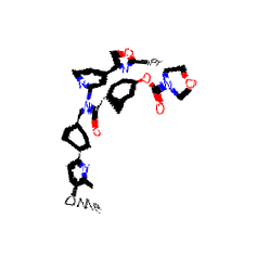 COc1ccc([C@H]2CC[C@H](CN(c3cc(-c4coc(C(C)C)n4)ccn3)C(=O)[C@H]3CC[C@H](OC(=O)N4CCOCC4)CC3)CC2)nc1C